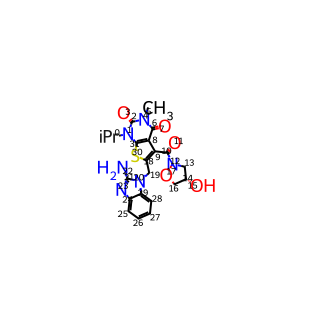 CC(C)n1c(=O)n(C)c(=O)c2c(C(=O)N3C[C@H](O)CO3)c(Cn3c(N)nc4ccccc43)sc21